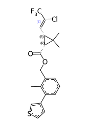 Cc1c(COC(=O)[C@@H]2[C@H](/C=C(\Cl)C(F)(F)F)C2(C)C)cccc1-c1ccsc1